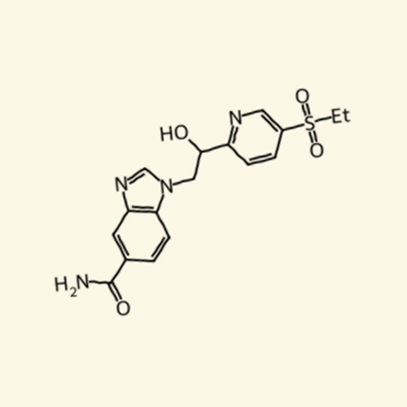 CCS(=O)(=O)c1ccc(C(O)Cn2cnc3cc(C(N)=O)ccc32)nc1